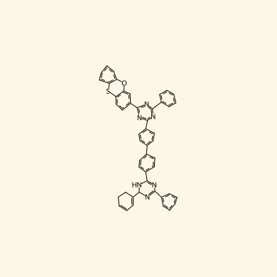 C1=CCCC(C2N=C(c3ccccc3)N=C(c3ccc(-c4ccc(-c5nc(-c6ccccc6)nc(-c6ccc7c(c6)Oc6ccccc6S7)n5)cc4)cc3)N2)=C1